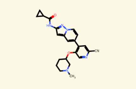 CN1CCCC(Oc2cnc(C#N)cc2-c2ccn3nc(NC(=O)C4CC4)cc3c2)C1